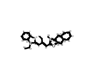 CC/C(C=C1Sc2ccccc2N1CC)=C\c1oc2cc3ccccc3cc2[n+]1C